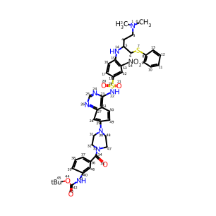 CN(C)CCC(CSc1ccccc1)Nc1ccc(S(=O)(=O)Nc2ncnc3cc(N4CCN(C(=O)c5cccc(NC(=O)OC(C)(C)C)c5)CC4)ccc23)cc1[N+](=O)[O-]